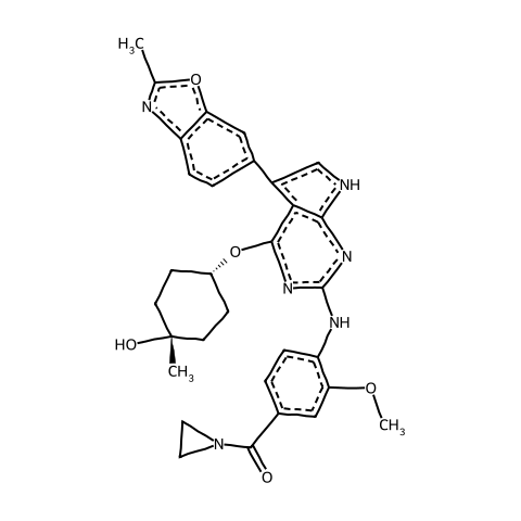 COc1cc(C(=O)N2CC2)ccc1Nc1nc(O[C@H]2CC[C@@](C)(O)CC2)c2c(-c3ccc4nc(C)oc4c3)c[nH]c2n1